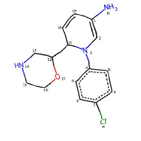 NC1=CN(c2ccc(Cl)cc2)C(C2CNCCO2)C=C1